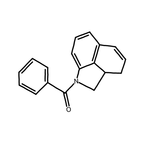 O=C(c1ccccc1)N1CC2CC=Cc3cccc1c32